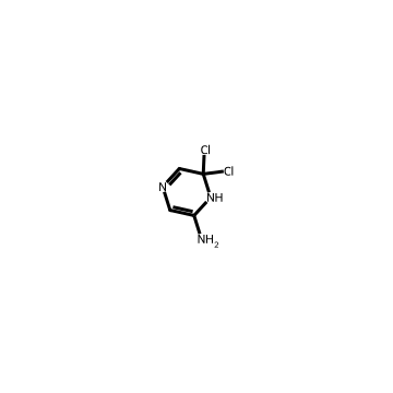 NC1=CN=CC(Cl)(Cl)N1